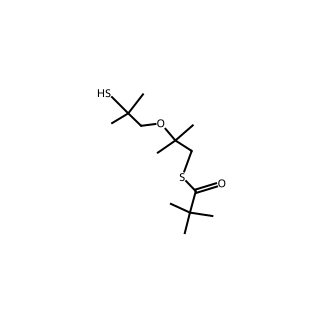 CC(C)(S)COC(C)(C)CSC(=O)C(C)(C)C